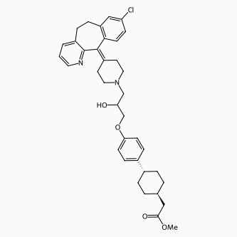 COC(=O)C[C@H]1CC[C@H](c2ccc(OCC(O)CN3CCC(=C4c5ccc(Cl)cc5CCc5cccnc54)CC3)cc2)CC1